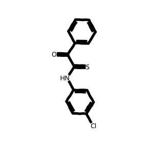 O=C(C(=S)Nc1ccc(Cl)cc1)c1ccccc1